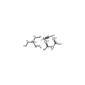 CC#N.CC(=O)OC(C)=O.CCN(CC)CC